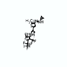 Cc1sc(-c2cnn(-c3c(C(F)(F)F)c(C(F)(F)C(F)(F)F)nn3C)c2)cc1NNC1CC1